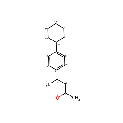 CC(O)CC(C)c1ccc(C2CCCCC2)cc1